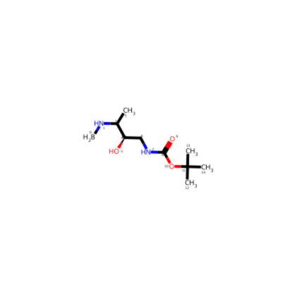 BNC(C)[C@H](O)CNC(=O)OC(C)(C)C